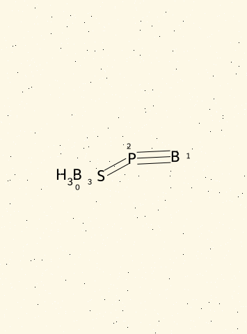 B.B#P=S